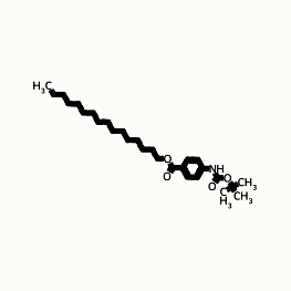 CCCCCCCCCCCCCCCCOC(=O)c1ccc(NC(=O)OC(C)(C)C)cc1